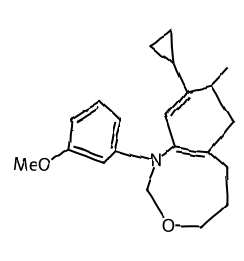 COc1cccc(N2COCCCC3=C2C=C(C2CC2)C(C)C3)c1